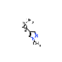 C[C@@H]1C[C@@H]1c1cnn(C)c1